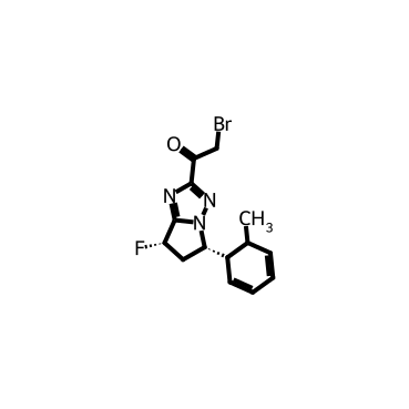 CC1C=CC=CC1[C@@H]1C[C@H](F)c2nc(C(=O)CBr)nn21